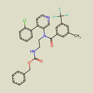 Cc1cc(C(=O)N(CCNC(=O)OCc2ccccc2)c2cnccc2-c2ccccc2Cl)cc(C(F)(F)F)c1